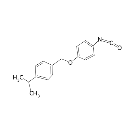 CC(C)c1ccc(COc2ccc(N=C=O)cc2)cc1